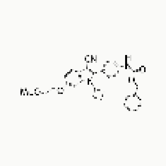 COCCOc1ccc2c(C#N)c(-c3ccc(NC(=O)OCc4ccccc4)cc3)n(C3CCC3)c2c1